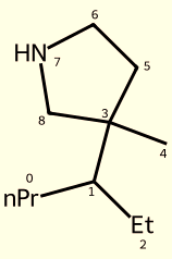 CCCC(CC)C1(C)CCNC1